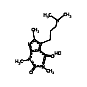 Cc1nc2c(c(=O)n(C)c(=O)n2C)n1CCCN(C)C.Cl